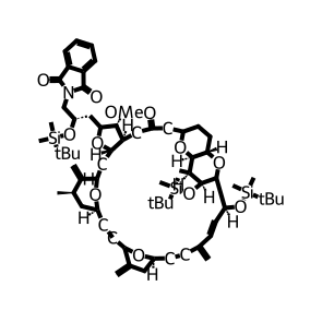 C=C1/C=C/[C@H](O[Si](C)(C)C(C)(C)C)C2O[C@H]3CCC(CC(=O)C[C@H]4[C@H](C[C@H]5O[C@@H](CCC6O[C@@H](CC1)CC6=C)C[C@@H](C)C5=C)OC(C[C@@H](CN1C(=O)c5ccccc5C1=O)O[Si](C)(C)C(C)(C)C)[C@@H]4OC)O[C@@H]3[C@H](C)[C@@H]2O[Si](C)(C)C(C)(C)C